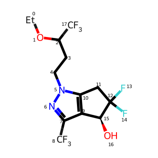 CCOC(CCn1nc(C(F)(F)F)c2c1CC(F)(F)[C@H]2O)C(F)(F)F